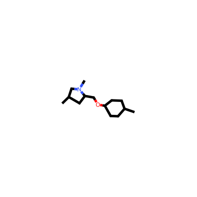 CC1CCC(OCC2CC(C)CN2C)CC1